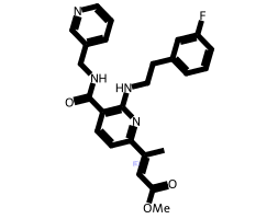 COC(=O)/C=C(\C)c1ccc(C(=O)NCc2cccnc2)c(NCCc2cccc(F)c2)n1